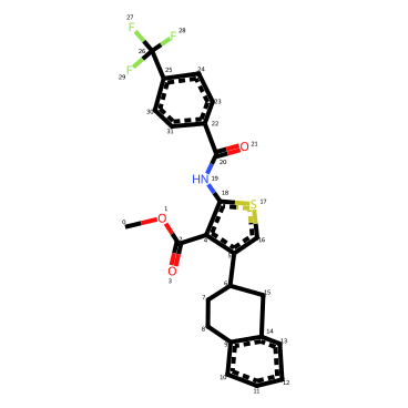 COC(=O)c1c(C2CCc3ccccc3C2)csc1NC(=O)c1ccc(C(F)(F)F)cc1